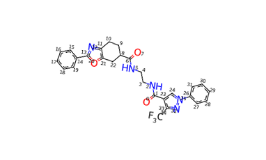 O=C(NCCNC(=O)C1CCc2nc(-c3ccccc3)oc2C1)c1cn(-c2ccccc2)nc1C(F)(F)F